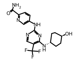 NC(=O)c1ccc(Nc2ncc(C(F)(F)F)c(N[C@H]3CC[C@H](O)CC3)n2)cn1